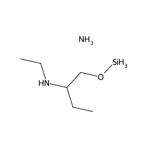 CCNC(CC)CO[SiH3].N